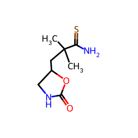 CC(C)(CC1CNC(=O)O1)C(N)=S